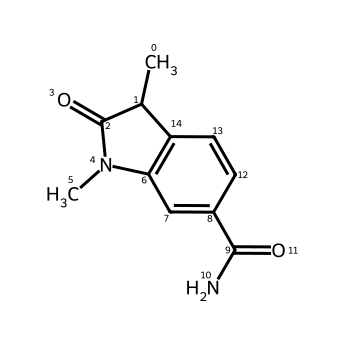 CC1C(=O)N(C)c2cc(C(N)=O)ccc21